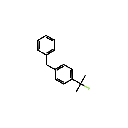 CC(C)(F)c1ccc(Cc2ccccc2)cc1